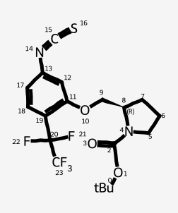 CC(C)(C)OC(=O)N1CCC[C@@H]1COc1cc(N=C=S)ccc1C(F)(F)C(F)(F)F